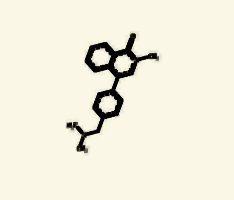 CN(C)Cc1ccc(-c2cn(C)c(=O)c3ccccc23)cc1